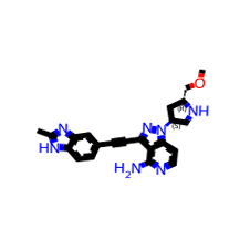 COC[C@H]1C[C@H](n2nc(C#Cc3ccc4[nH]c(C)nc4c3)c3c(N)nccc32)CN1